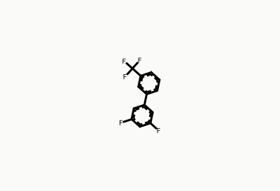 Fc1cc(F)cc(-c2cc[c]c(C(F)(F)F)c2)c1